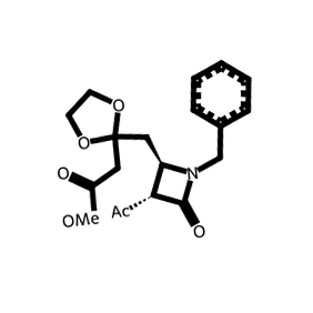 COC(=O)CC1(C[C@@H]2[C@@H](C(C)=O)C(=O)N2Cc2ccccc2)OCCO1